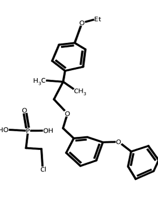 CCOc1ccc(C(C)(C)COCc2cccc(Oc3ccccc3)c2)cc1.O=P(O)(O)CCCl